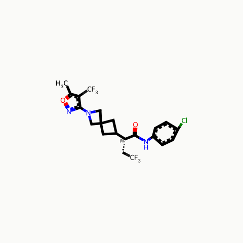 Cc1onc(N2CC3(CC([C@@H](CC(F)(F)F)C(=O)Nc4ccc(Cl)cc4)C3)C2)c1C(F)(F)F